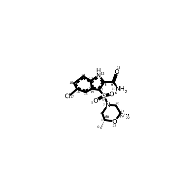 C[C@@H]1CN(S(=O)(=O)c2c(C(N)=O)[nH]c3ccc(Cl)cc23)C[C@H](C)O1